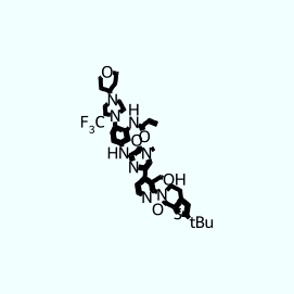 C=CC(=O)Nc1cc(Nc2nc(-c3ccnc(N4CCc5cc(C(C)(C)C)sc5C4=O)c3CO)cn(C)c2=O)ccc1N1CCN(C2CCOCC2)C[C@@H]1C(F)(F)F